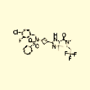 CN(CCC(F)(F)F)C(=O)[C@@H]1NC(C23CC(N(Cc4ccc(Cl)c(F)c4)S(=O)(=O)c4ccccc4)(C2)C3)=NC1(C)C